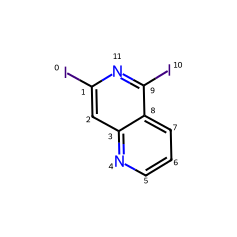 Ic1cc2ncccc2c(I)n1